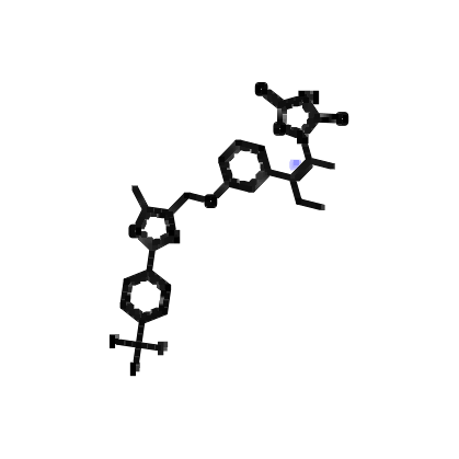 CC/C(=C(\C)n1oc(=O)[nH]c1=O)c1cccc(OCc2nc(-c3ccc(C(F)(F)F)cc3)oc2C)c1